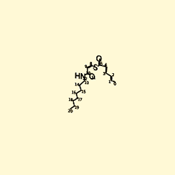 C/C=C/C=C/C(=O)S/C=C\C(=O)NCCCCCCCC